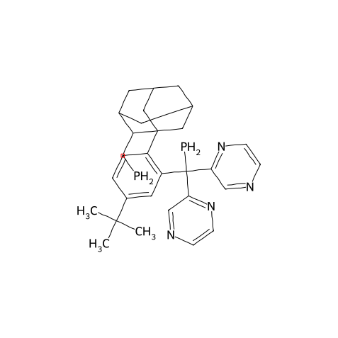 CC(C)(C)c1ccc(C23CC4CC(CC(C4)C2CP)C3)c(C(P)(c2cnccn2)c2cnccn2)c1